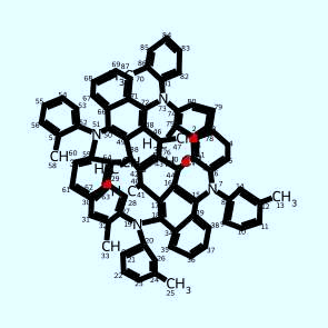 CC1=CCCC=C1N(c1cccc(C)c1)c1c2c(c(N(c3cccc(C)c3)c3ccccc3C)c3ccccc13)C(C)C1=C(C2C)C(C)c2c(c(N(c3ccccc3C)c3ccccc3C)c3ccccc3c2N(C2=C(C)C=C=C=C2)c2ccccc2C)C1C